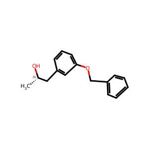 C[C@H](O)Cc1cccc(OCc2ccccc2)c1